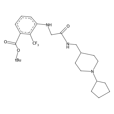 CC(C)(C)OC(=O)c1cccc(NCC(=O)NCC2CCN(C3CCCC3)CC2)c1C(F)(F)F